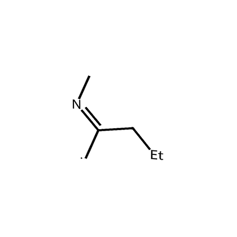 [CH2]CC/C([CH2])=N\C